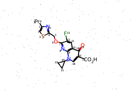 CC(C)c1csc(COc2nc3c(cc2F)c(=O)c(C(=O)O)cn3C2CC2)n1